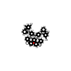 Cc1cc2c3c(c1)N(c1cccc4oc5ccccc5c14)c1cc(N4c5cc(C)cc(C)c5C5(C)CCCCC45C)ccc1B3c1ccc(N3c4cc(C)cc(C)c4C4(C)CCCCC34C)cc1N2c1cccc2oc3ccccc3c12